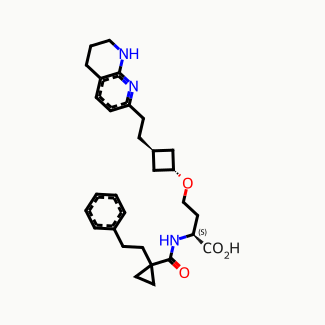 O=C(O)[C@H](CCO[C@H]1C[C@H](CCc2ccc3c(n2)NCCC3)C1)NC(=O)C1(CCc2ccccc2)CC1